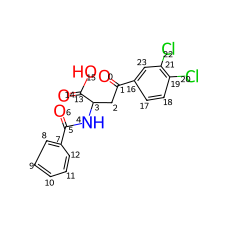 O=C(CC(NC(=O)c1ccccc1)C(=O)O)c1ccc(Cl)c(Cl)c1